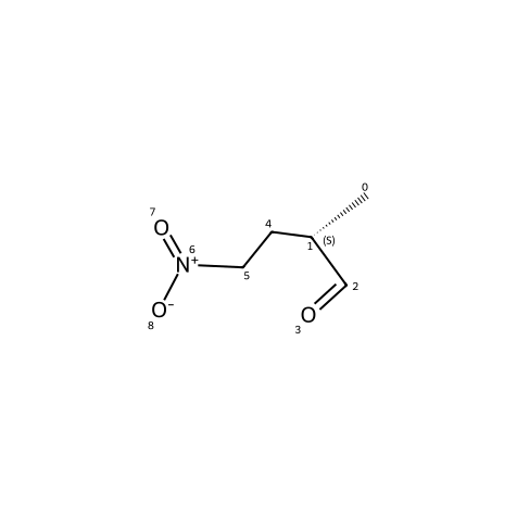 C[C@H](C=O)CC[N+](=O)[O-]